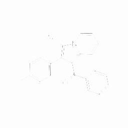 CC(=O)c1c(-c2ccc(C)cc2)c(C(=O)c2ccccc2)c2ccccn12